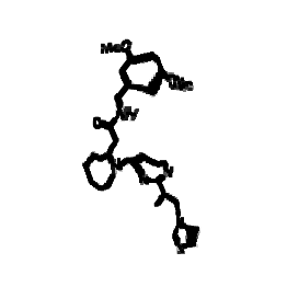 COc1cc(CNC(=O)CC2CCCCN2c2ccnc(C(C)Cn3ccnc3)n2)cc(OC)c1